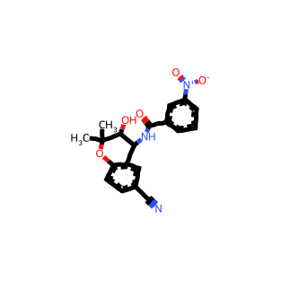 CC1(C)Oc2ccc(C#N)cc2C(NC(=O)c2cccc([N+](=O)[O-])c2)C1O